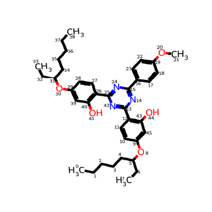 CCCCCC(CC)Oc1ccc(-c2nc(-c3ccc(OC)cc3)nc(-c3ccc(O[C@@H](CC)CCCCC)cc3O)n2)c(O)c1